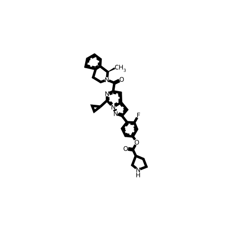 C[C@@H]1c2ccccc2CCN1C(=O)c1cc2cc(-c3ccc(OC(=O)C4CCNC4)cc3F)nn2c(C2CC2)n1